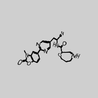 Cn1c(=O)oc2ccc(-c3ncc(CC(C#N)NC(=O)C4CNCCCO4)cn3)cc21